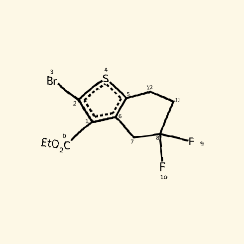 CCOC(=O)c1c(Br)sc2c1CC(F)(F)CC2